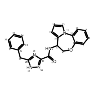 O=C(NC1COc2ccccc2-n2cccc21)c1n[nH]c(Cc2ccccc2)n1